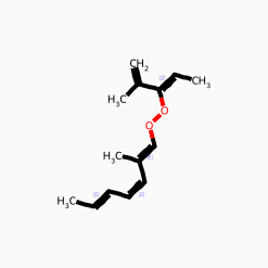 C=C(C)/C(=C/C)OO/C=C(C)/C=C\C=C\C